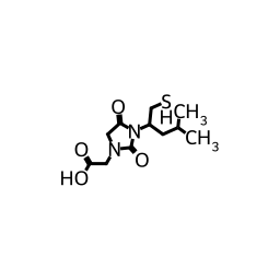 CC(C)CC(CS)N1C(=O)CN(CC(=O)O)C1=O